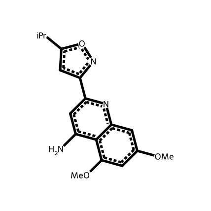 COc1cc(OC)c2c(N)cc(-c3cc(C(C)C)on3)nc2c1